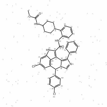 COC(=O)NC1CCN(c2ncccc2NC(=O)c2[nH]c3cc(Cl)cc4c3c2-c2c(-c3ccccc3)ncn2C4c2ccc(Cl)cc2)CC1